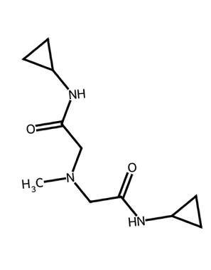 CN(CC(=O)NC1CC1)CC(=O)NC1CC1